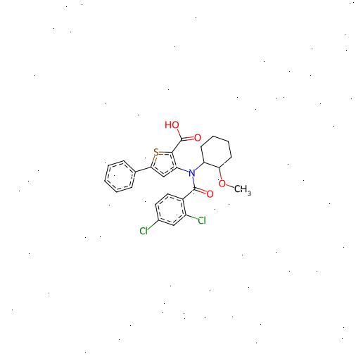 COC1CCCCC1N(C(=O)c1ccc(Cl)cc1Cl)c1cc(-c2ccccc2)sc1C(=O)O